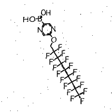 OB(O)c1cnc(OCC(F)(F)C(F)(F)C(F)(F)C(F)(F)C(F)(F)C(F)(F)C(F)(F)C(F)(F)F)cn1